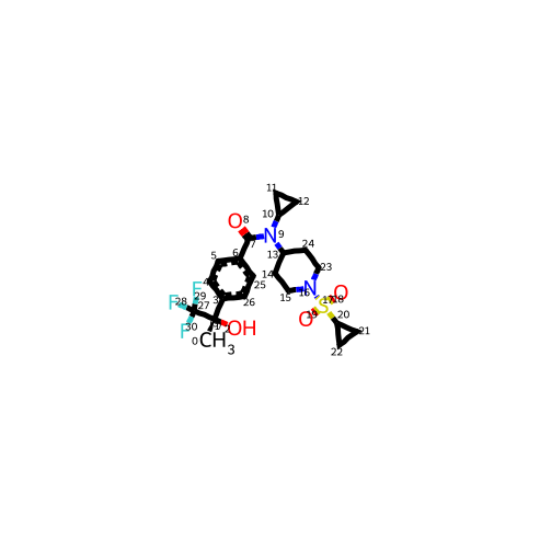 C[C@](O)(c1ccc(C(=O)N(C2CC2)C2CCN(S(=O)(=O)C3CC3)CC2)cc1)C(F)(F)F